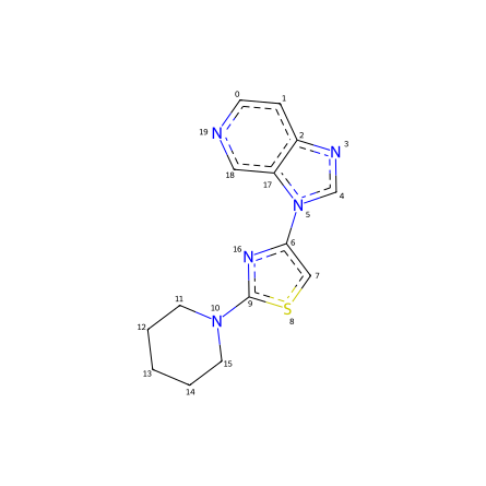 c1cc2ncn(-c3csc(N4CCCCC4)n3)c2cn1